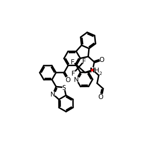 Nc1cccnc1-c1c(C(=O)c2ccccc2-c2nc3ccccc3s2)ccc2c1C(C(=O)N(CCC=O)CC(F)(F)F)c1ccccc1-2